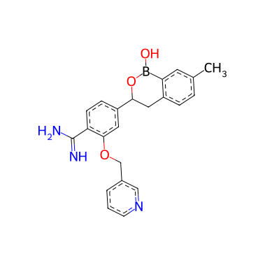 Cc1ccc2c(c1)B(O)OC(c1ccc(C(=N)N)c(OCc3cccnc3)c1)C2